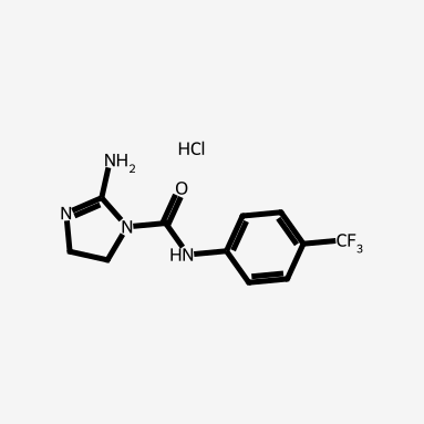 Cl.NC1=NCCN1C(=O)Nc1ccc(C(F)(F)F)cc1